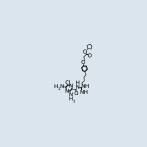 N=C(NCCCCc1ccc(OCCC(=O)OC2CCCC2)cc1)NC(=O)c1nc(Cl)c(N)nc1N